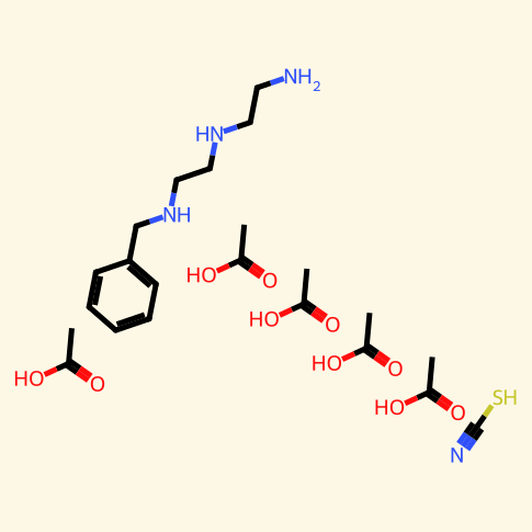 CC(=O)O.CC(=O)O.CC(=O)O.CC(=O)O.CC(=O)O.N#CS.NCCNCCNCc1ccccc1